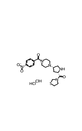 Cl.Cl.O=C(c1ccc([N+](=O)[O-])cc1)N1CCN([C@@H]2CN[C@H](C(=O)N3CCSC3)C2)CC1